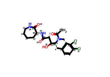 BC(=O)N(C)[C@H](Cc1ccc(Cl)c(Cl)c1)C(O)CC(=O)N[C@@H]1CCCCNC1=O